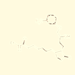 CCNC(=O)CCCC=CC[C@H]1C=CC(=O)[C@@H]1C=CC(O)COc1cccc(C(F)(F)F)c1